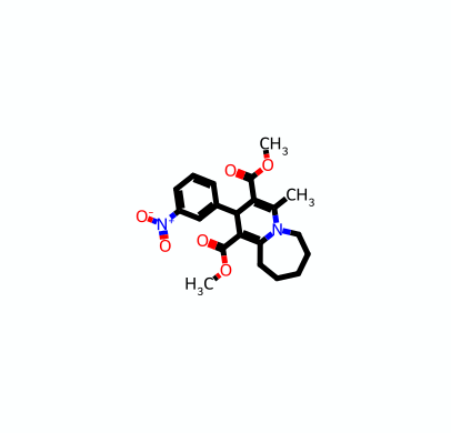 COC(=O)C1=C(C)N2CCCCCC2=C(C(=O)OC)C1c1cccc([N+](=O)[O-])c1